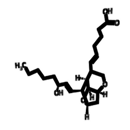 CCCCC[C@@H](O)/C=C/[C@H]1[C@H]2C(/C=C/CCCC(=O)O)CO[C@H]3C[C@@H]1O[C@@H]23